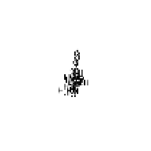 CCCOCCOCCOCCOCCC(=O)NCC1O[C@H](OP(=O)(O)OP(=O)(O)OC[C@H]2O[C@@H](n3cnc4c(=O)[nH]c(N)nc43)[C@@H](O)C2O)C[C@@H](O)[C@@H]1O